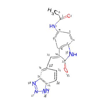 CC(=O)Nc1ccc2c(c1)C(=Cc1ccc3[nH]nnc3c1)C(=O)N2